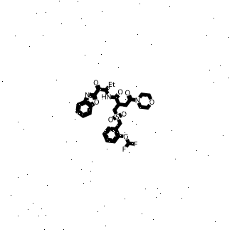 CCC(NC(=O)C(CC(=O)N1CCOCC1)CS(=O)(=O)Cc1ccccc1OC(F)F)C(=O)c1nc2ccccc2o1